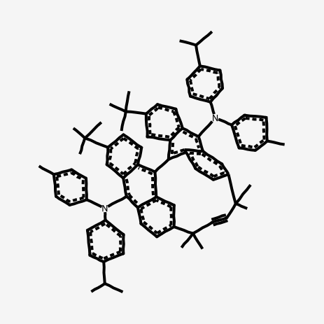 Cc1ccc(N(c2ccc(C(C)C)cc2)c2c3ccc4cc3c(c3ccc(C(C)(C)C)cc23)-c2c3cc(C(C)(C)C)ccc3c(N(c3ccc(C)cc3)c3ccc(C(C)C)cc3)c3cc(ccc23)C(C)(C)C#CC4(C)C)cc1